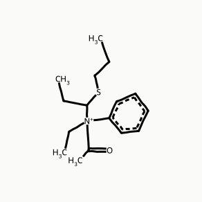 CCCSC(CC)[N+](CC)(C(C)=O)c1ccccc1